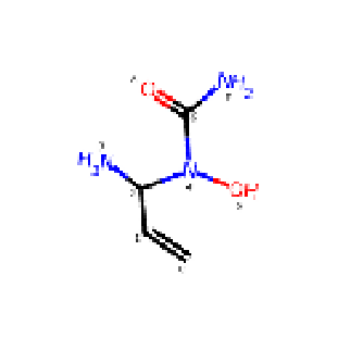 C=CC(N)N(O)C(N)=O